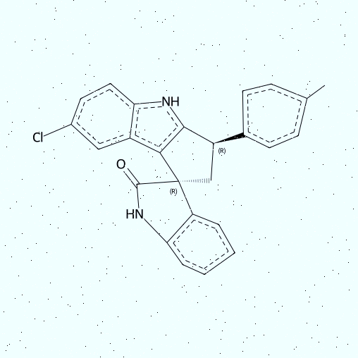 Cc1ccc([C@H]2C[C@]3(C(=O)Nc4ccccc43)c3c2[nH]c2ccc(Cl)cc32)cc1